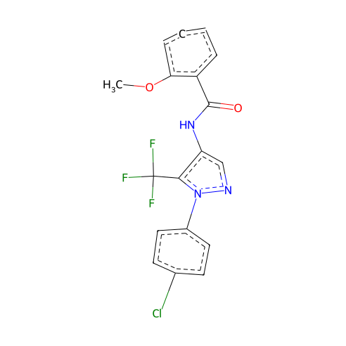 COc1ccccc1C(=O)Nc1cnn(-c2ccc(Cl)cc2)c1C(F)(F)F